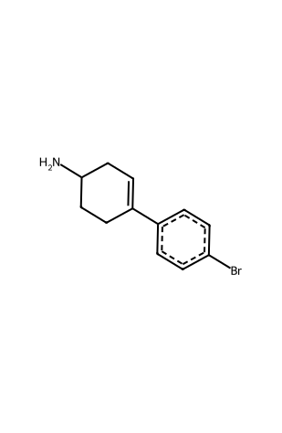 NC1CC=C(c2ccc(Br)cc2)CC1